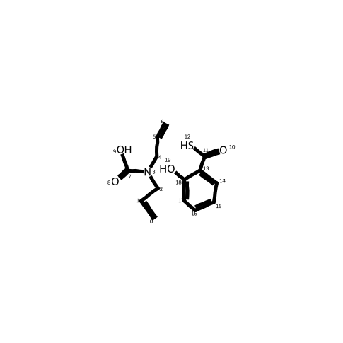 C=CCN(CC=C)C(=O)O.O=C(S)c1ccccc1O